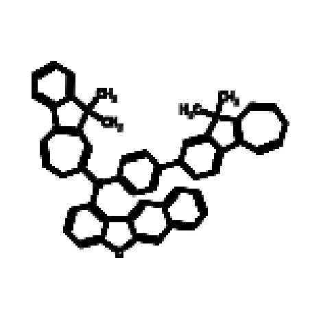 CC1(C)C2=CC(c3ccc(N(C4=CC5=C(C=CC4)c4ccccc4C5(C)C)c4cccc5oc6cc7ccccc7cc6c45)cc3)CC=C2C2=C1C=CCC=C2